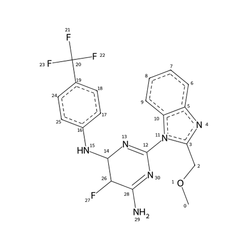 COCc1nc2ccccc2n1C1=NC(Nc2ccc(C(F)(F)F)cc2)C(F)C(N)=N1